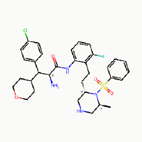 C[C@H]1CNC[C@H](CCc2c(F)cccc2NC(=O)[C@@H](N)C(c2ccc(Cl)cc2)C2CCOCC2)N1S(=O)(=O)c1ccccc1